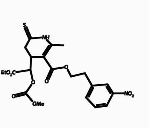 CCOC(=O)C(OC(=O)OC)C1CC(=S)NC(C)=C1C(=O)OCCc1cccc([N+](=O)[O-])c1